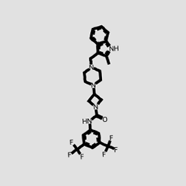 Cc1[nH]c2ccccc2c1CN1CCN(C2CN(C(=O)Nc3cc(C(F)(F)F)cc(C(F)(F)F)c3)C2)CC1